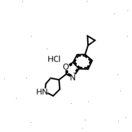 Cl.c1cc2nc(C3CCNCC3)oc2cc1C1CC1